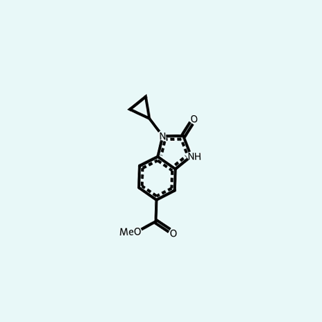 COC(=O)c1ccc2c(c1)[nH]c(=O)n2C1CC1